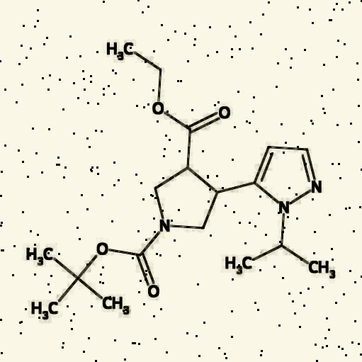 CCOC(=O)C1CN(C(=O)OC(C)(C)C)CC1c1ccnn1C(C)C